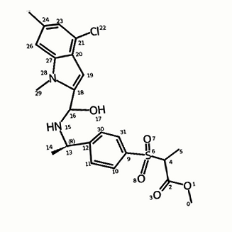 COC(=O)C(C)S(=O)(=O)c1ccc([C@@H](C)NC(O)c2cc3c(Cl)cc(C)cc3n2C)cc1